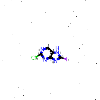 Clc1ncc2[nH]c(I)nc2n1